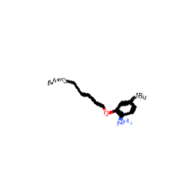 COCCCCCOc1cc(C(C)(C)C)ccc1N